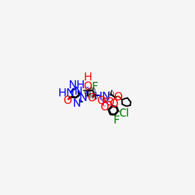 C[C@H](NP(=O)(OC[C@H]1O[C@@H](n2cnc3c(=O)[nH]c(N)nc32)[C@](C)(O)[C@@H]1F)Oc1ccc(F)c(Cl)c1)C(=O)OC1CCCCC1